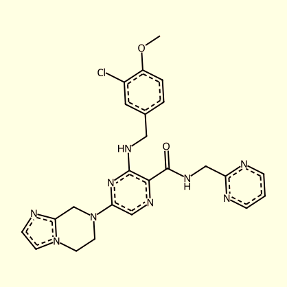 COc1ccc(CNc2nc(N3CCn4ccnc4C3)cnc2C(=O)NCc2ncccn2)cc1Cl